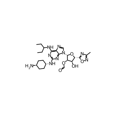 CCC(CC)Nc1nc(N[C@H]2CC[C@H](N)CC2)nc2c1ncn2[C@@H]1O[C@H](c2nc(C)no2)[C@@H](O)[C@H]1OC=O